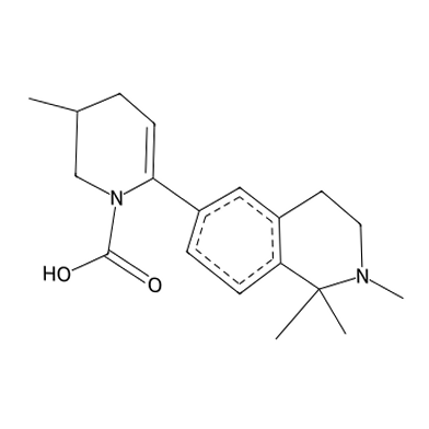 CC1CC=C(c2ccc3c(c2)CCN(C)C3(C)C)N(C(=O)O)C1